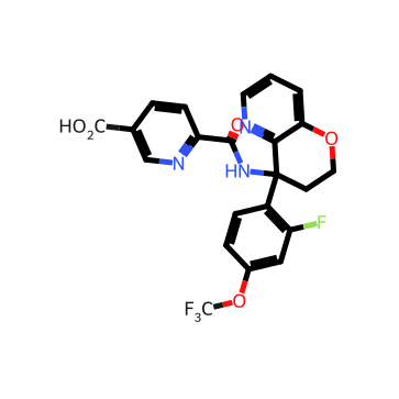 O=C(O)c1ccc(C(=O)NC2(c3ccc(OC(F)(F)F)cc3F)CCOc3cccnc32)nc1